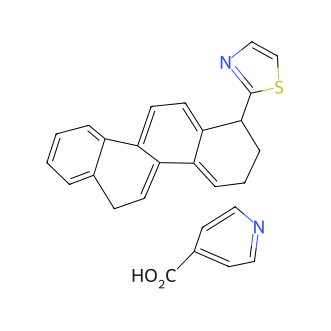 C1=c2c(ccc3c2=CCCC3c2nccs2)-c2ccccc2C1.O=C(O)c1ccncc1